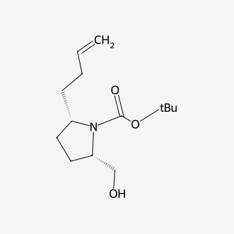 C=CCC[C@H]1CC[C@@H](CO)N1C(=O)OC(C)(C)C